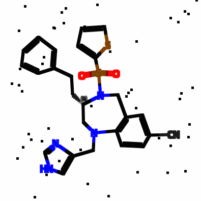 N#Cc1ccc2c(c1)CN(S(=O)(=O)c1cccs1)[C@@H](CCc1ccccc1)CN2Cc1c[nH]cn1